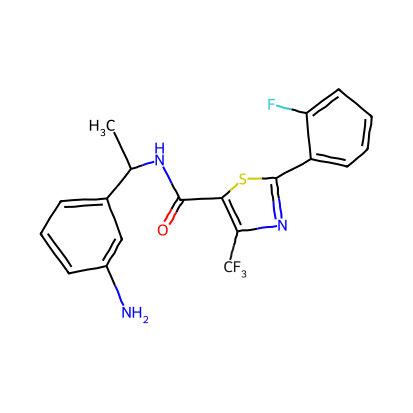 CC(NC(=O)c1sc(-c2ccccc2F)nc1C(F)(F)F)c1cccc(N)c1